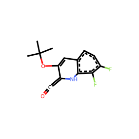 CC(C)(C)OC1=Cc2ccc(F)c(F)c2NC1=C=O